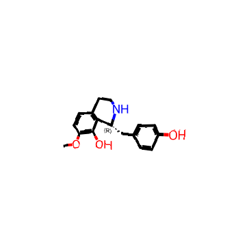 COc1ccc2c(c1O)[C@@H](Cc1ccc(O)cc1)NCC2